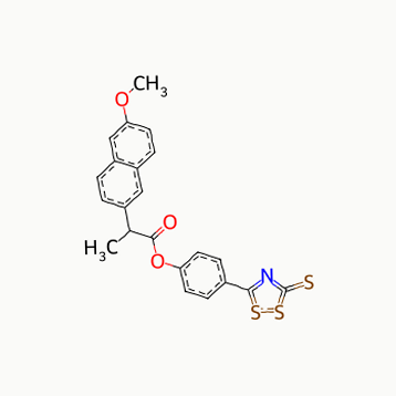 COc1ccc2cc(C(C)C(=O)Oc3ccc(-c4nc(=S)ss4)cc3)ccc2c1